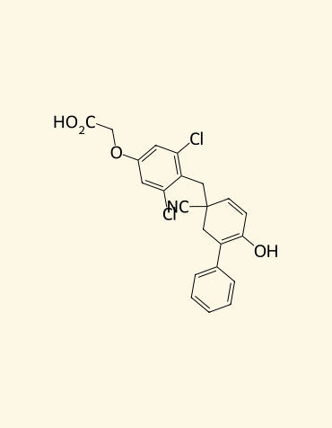 N#CC1(Cc2c(Cl)cc(OCC(=O)O)cc2Cl)C=CC(O)=C(c2ccccc2)C1